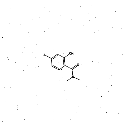 CN(C)C(=O)c1ccc(Cl)cc1O